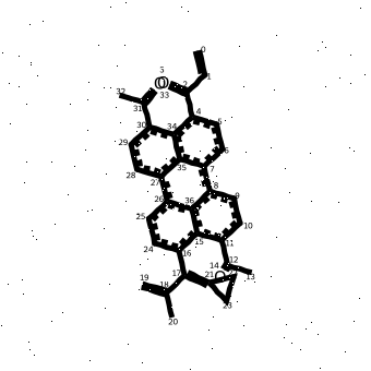 C=CC(=O)c1ccc2c3ccc(C(C)=O)c4c(C(C(=C)C)=C5CC5)ccc(c5ccc(C(C)=O)c1c25)c43